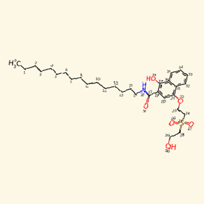 CCCCCCCCCCCCCCCCNC(=O)c1cc(OCCS(=O)(=O)CCO)c2ccccc2c1O